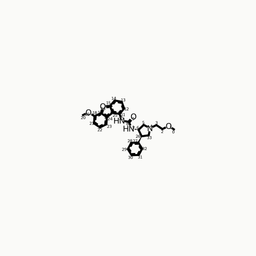 COCCN1C[C@@H](NC(=O)Nc2cccc3oc4c(OC)cccc4c23)[C@H](c2ccccc2)C1